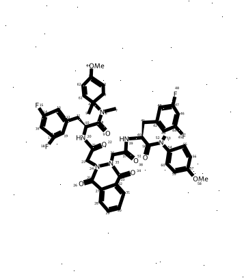 COC1=CCC(C)(N(C)C(=O)[C@H](Cc2cc(F)cc(F)c2)NC(=O)Cn2c(=O)c3ccccc3c(=O)n2CC(=O)N[C@@H](Cc2cc(F)cc(F)c2)C(=O)N(C)c2ccc(OC)cc2)C=C1